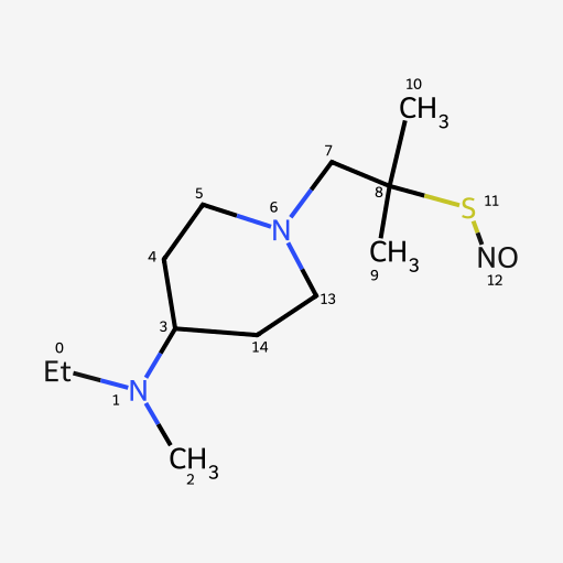 [CH2]CN(C)C1CCN(CC(C)(C)SN=O)CC1